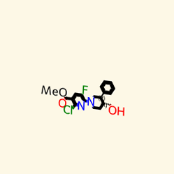 COC(=O)c1cc(F)c(N2CC[C@@H](CO)[C@H](c3ccccc3)C2)nc1Cl